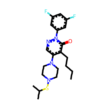 CCCCc1c(N2CCN(SC(C)C)CC2)cnn(-c2cc(F)cc(F)c2)c1=O